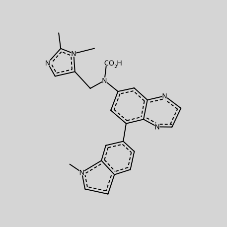 Cc1ncc(CN(C(=O)O)c2cc(-c3ccc4ccn(C)c4c3)c3nccnc3c2)n1C